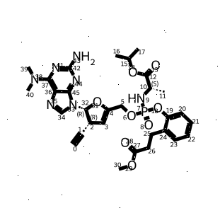 C#C[C@H]1C=C(COP(=O)(N[C@@H](C)C(=O)OC(C)C)Oc2ccccc2CCC(=O)OC)O[C@H]1n1cnc2c(N(C)C)nc(N)nc21